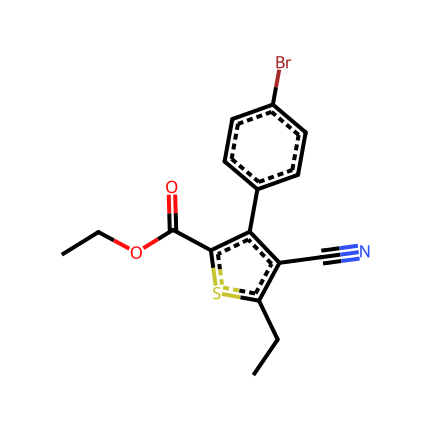 CCOC(=O)c1sc(CC)c(C#N)c1-c1ccc(Br)cc1